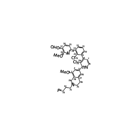 COc1cc(-c2nccc(-c3cccc(-c4ccc(C=O)c(OC)n4)c3Cl)c2Cl)cc2c1CN(CCCF)CC2